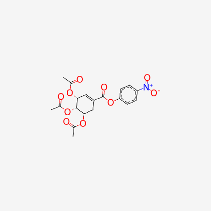 CC(=O)O[C@@H]1[C@H](OC(C)=O)C=C(C(=O)Oc2ccc([N+](=O)[O-])cc2)C[C@H]1OC(C)=O